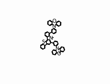 Cn1c2c(-c3cccc(N4c5ccccc5Oc5ccccc54)c3)cccc2c2c3sc4ccccc4c3cc(-c3cccc(N4c5ccccc5Oc5ccccc54)c3)c21